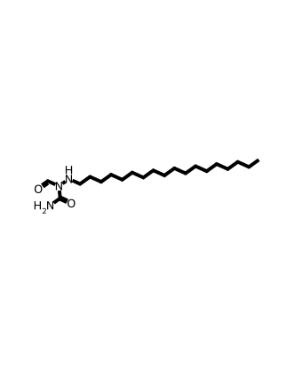 CCCCCCCCCCCCCCCCCCNN(C=O)C(N)=O